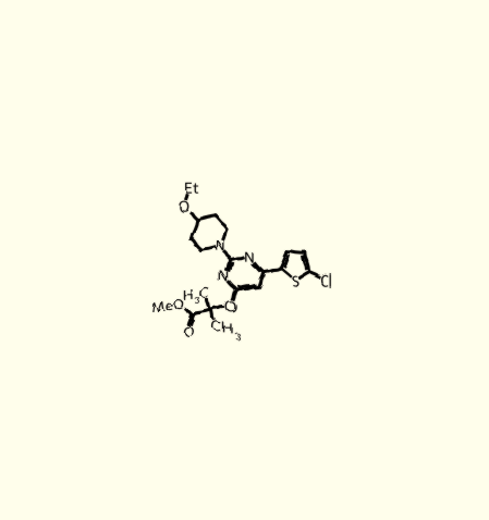 CCOC1CCN(c2nc(OC(C)(C)C(=O)OC)cc(-c3ccc(Cl)s3)n2)CC1